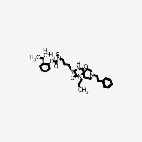 CCCN1C(=O)[C@H](CCCCN(C)C(=O)O[C@@H]2CCCC[C@H]2C(C)C)NC(=O)C12CCN(CCc1ccccc1)CC2